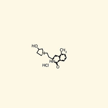 Cc1cccc2c(=O)[nH]c(CCN3CCC(O)C3)cc12.Cl